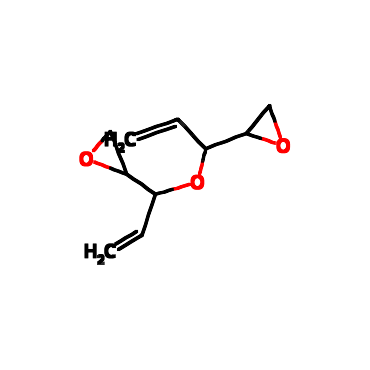 C=CC(OC(C=C)C1CO1)C1CO1